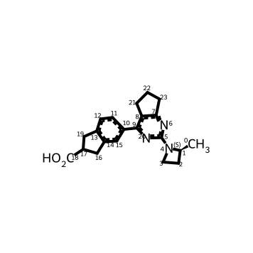 C[C@H]1CCN1c1nc2c(c(-c3ccc4c(c3)CC(C(=O)O)C4)n1)CCC2